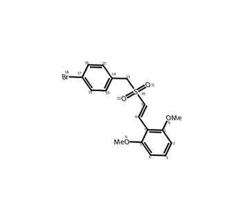 COc1cccc(OC)c1C=CS(=O)(=O)Cc1ccc(Br)cc1